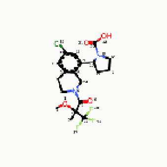 COC(C)(C(=O)N1CCc2cc(Cl)cc([C@@H]3CCCN3C(=O)O)c2C1)C(F)(F)F